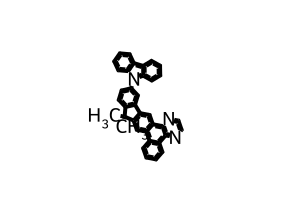 CC1(C)c2ccc(-n3c4ccccc4c4ccccc43)cc2-c2cc3c(cc21)c1ccccc1c1nccnc31